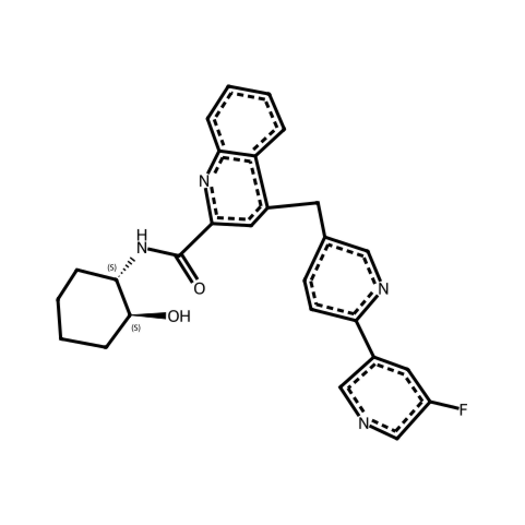 O=C(N[C@H]1CCCC[C@@H]1O)c1cc(Cc2ccc(-c3cncc(F)c3)nc2)c2ccccc2n1